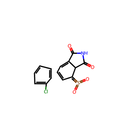 Clc1ccccc1.O=C1NC(=O)C2C1=CC=CC2=S(=O)=O